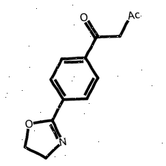 CC(=O)CC(=O)c1ccc(C2=NCCO2)cc1